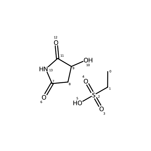 CCS(=O)(=O)O.O=C1CC(O)C(=O)N1